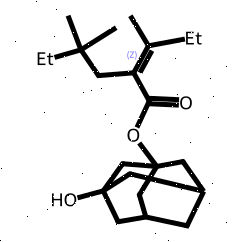 CC/C(C)=C(/CC(C)(C)CC)C(=O)OC12CC3CC(CC(O)(C3)C1)C2